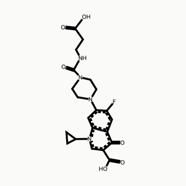 O=C(O)CCNC(=O)N1CCN(c2cc3c(cc2F)c(=O)c(C(=O)O)cn3C2CC2)CC1